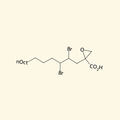 CCCCCCCCCCCC(Br)C(Br)CC1(C(=O)O)CO1